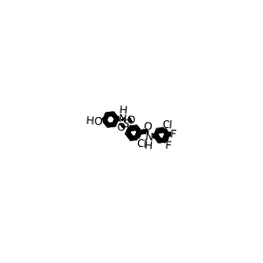 O=C(Nc1cc(F)c(F)c(Cl)c1)c1cc(S(=O)(=O)NC2CCC(O)CC2)ccc1Cl